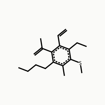 C=Cc1c(CC)c(SC)c(C)c(CCCC)c1C(=C)C